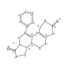 C[C@]12CC(c3ccccc3)=C3C4=C(CCC3C1CCC2=O)CC(=O)CC4